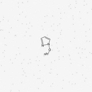 CCCOn1cccn1